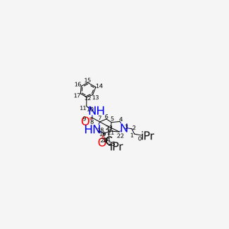 CC(C)CCN1CC2CC3(C(=O)NCc4ccccc4)NC(=O)C2C1C3CC(C)C